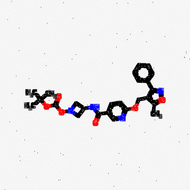 Cc1onc(-c2ccccc2)c1COc1ccc(C(=O)NC2CN(OC(=O)OC(C)(C)C)C2)cn1